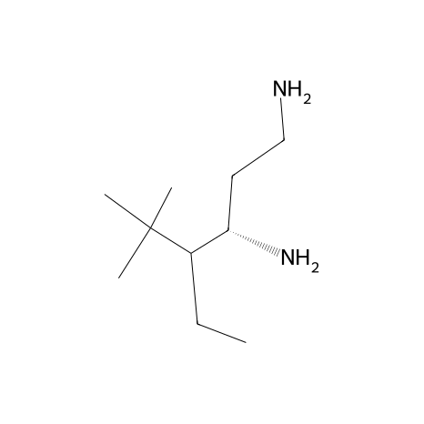 CCC([C@@H](N)CCN)C(C)(C)C